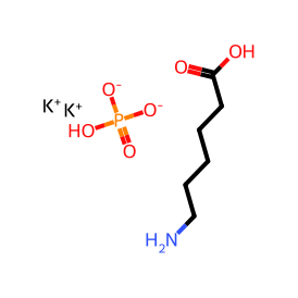 NCCCCCC(=O)O.O=P([O-])([O-])O.[K+].[K+]